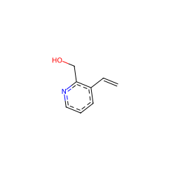 C=Cc1cccnc1CO